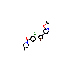 CC1CCN(C(=O)c2ccc(-c3cc(-c4ccnc(OC5CC5)c4)cs3)c(Cl)c2)CC1